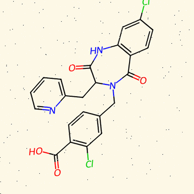 O=C(O)c1ccc(CN2C(=O)c3ccc(Cl)cc3NC(=O)C2Cc2ccccn2)cc1Cl